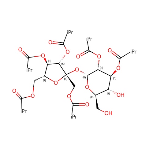 CC(C)C(=O)OC[C@H]1O[C@@](COC(=O)C(C)C)(O[C@H]2O[C@H](CO)[C@@H](O)[C@H](OC(=O)C(C)C)[C@H]2OC(=O)C(C)C)[C@@H](OC(=O)C(C)C)[C@@H]1OC(=O)C(C)C